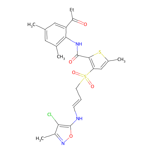 CCC(=O)c1cc(C)cc(C)c1NC(=O)c1sc(C)cc1S(=O)(=O)CC=CNc1onc(C)c1Cl